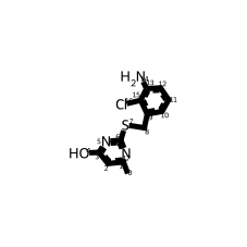 Cc1cc(O)nc(SCc2cccc(N)c2Cl)n1